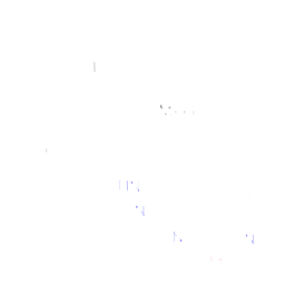 COc1cccc(C2c3c[nH]nc3NC(=O)C2C(=O)N(C)C)c1COc1ccc(CC(F)(F)F)cc1CC(F)(F)F